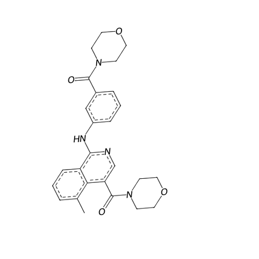 Cc1cccc2c(Nc3cccc(C(=O)N4CCOCC4)c3)ncc(C(=O)N3CCOCC3)c12